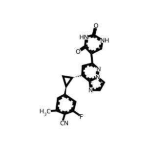 Cc1cc([C@H]2C[C@@H]2c2cc(-c3c[nH]c(=O)[nH]c3=O)nn3ccnc23)cc(F)c1C#N